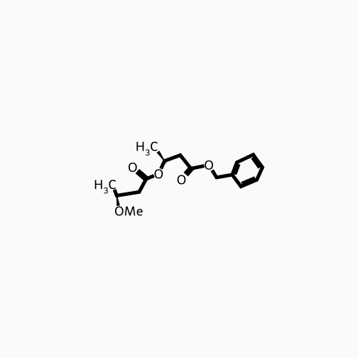 CO[C@@H](C)CC(=O)O[C@@H](C)CC(=O)OCc1ccccc1